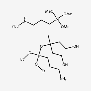 CCCCNCCC[Si](OC)(OC)OC.CCO[Si](CCCN)(OCC)OC(C)(CCO)CCO